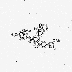 CCN(c1cc(-c2ccc3c(c2)NC(=O)C32CCOCC2)cc(C(=O)NCCc2c(OC)cc(C)[nH]c2=O)c1C)C1CCC(N(C)CCOC)CC1